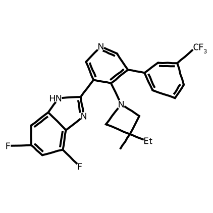 CCC1(C)CN(c2c(-c3cccc(C(F)(F)F)c3)cncc2-c2nc3c(F)cc(F)cc3[nH]2)C1